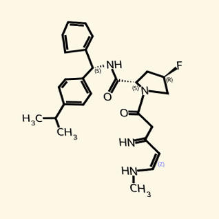 CN/C=C\C(=N)CC(=O)N1C[C@H](F)C[C@H]1C(=O)N[C@@H](c1ccccc1)c1ccc(C(C)C)cc1